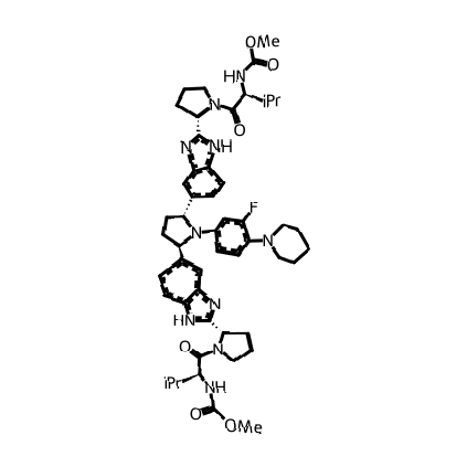 COC(=O)N[C@H](C(=O)N1CCC[C@H]1c1nc2cc([C@H]3CC[C@H](c4ccc5[nH]c([C@@H]6CCCN6C(=O)[C@@H](NC(=O)OC)C(C)C)nc5c4)N3c3ccc(N4CCCCC4)c(F)c3)ccc2[nH]1)C(C)C